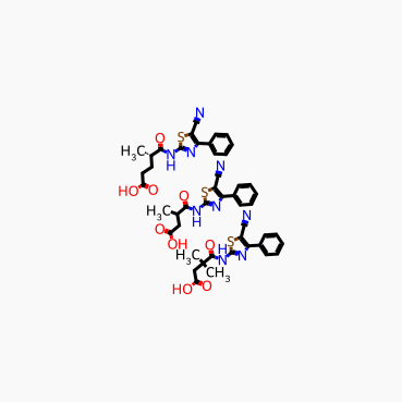 CC(C)(CC(=O)O)C(=O)Nc1nc(-c2ccccc2)c(C#N)s1.CC(CC(=O)O)C(=O)Nc1nc(-c2ccccc2)c(C#N)s1.C[C@@H](CCC(=O)O)C(=O)Nc1nc(-c2ccccc2)c(C#N)s1